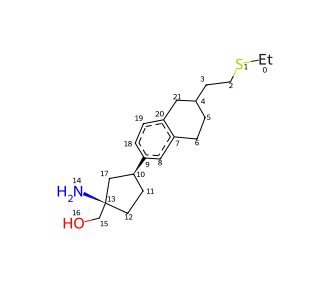 CCSCCC1CCc2cc([C@H]3CC[C@](N)(CO)C3)ccc2C1